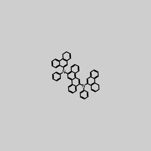 C1=Cc2c(N(c3ccccc3)c3cc4c5ccccc5c(N(c5ccccc5)c5cc6c(c7ccccc57)CCC=C6)cc4c4ccccc34)cc3ccccc3c2CC1